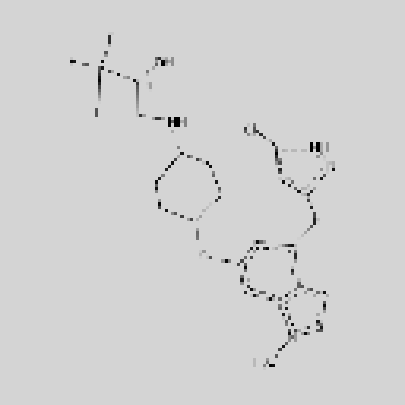 Cn1cnc2c(Nc3cc(Cl)[nH]n3)cc(O[C@H]3CC[C@@H](NC[C@@H](O)C(F)(F)F)CC3)cc21